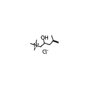 C=C(C)CC(O)C[N+](C)(C)C.[Cl-]